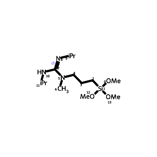 CO[Si](CCCN(C)/C(=N\C(C)C)NC(C)C)(OC)OC